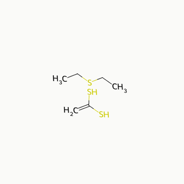 C=C(S)S.CCSCC